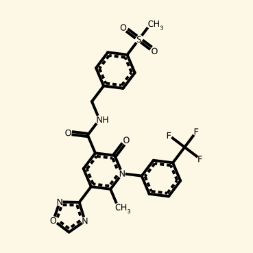 Cc1c(-c2ncon2)cc(C(=O)NCc2ccc(S(C)(=O)=O)cc2)c(=O)n1-c1cccc(C(F)(F)F)c1